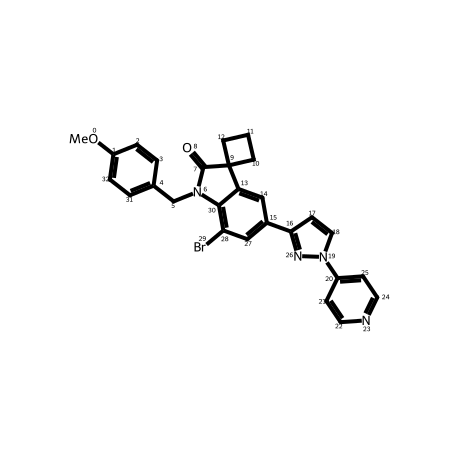 COc1ccc(CN2C(=O)C3(CCC3)c3cc(-c4ccn(-c5ccncc5)n4)cc(Br)c32)cc1